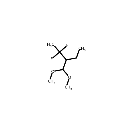 CCC([C](OC)OC)C(C)(F)F